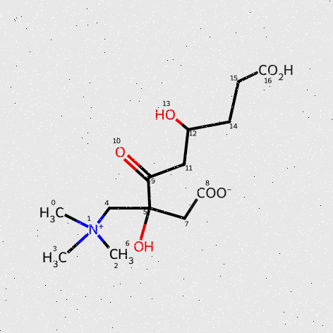 C[N+](C)(C)CC(O)(CC(=O)[O-])C(=O)CC(O)CCC(=O)O